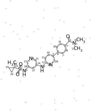 CN(C)C(=O)c1ccc(-c2ccc(Nc3cncc(NS(=O)(=O)C4(C)CC4)c3)nc2)cc1